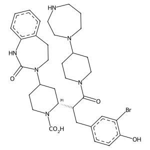 O=C(C(Cc1ccc(O)c(Br)c1)[C@H]1CC(N2CCc3ccccc3NC2=O)CCN1C(=O)O)N1CCC(N2CCCNCC2)CC1